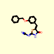 N#CN=C1NC(=O)C(=Cc2cccc(OCc3ccccc3)c2)S1